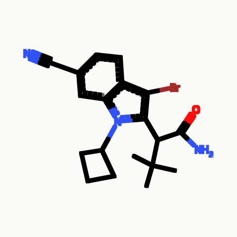 CC(C)(C)C(C(N)=O)c1c(Br)c2ccc(C#N)cc2n1C1CCC1